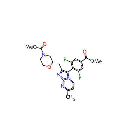 COC(=O)c1cc(F)c(-c2c(C[C@H]3CN(C(=O)OC)CCO3)nc3nc(C)ccn23)c(F)c1